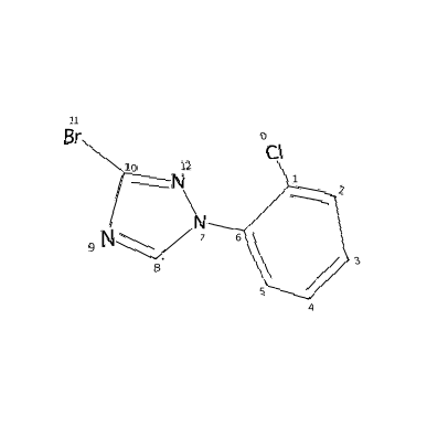 Clc1ccccc1-n1[c]nc(Br)n1